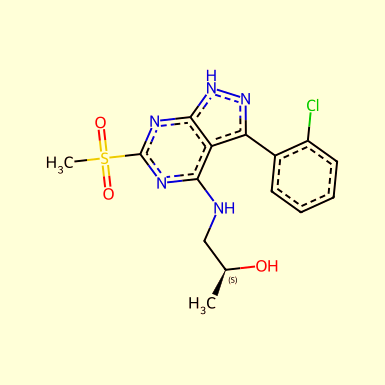 C[C@H](O)CNc1nc(S(C)(=O)=O)nc2[nH]nc(-c3ccccc3Cl)c12